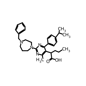 CCCC(C(=O)O)c1c(C)nc(N2CCCN(Cc3ccccc3)CC2)nc1-c1ccc(C(C)C)cc1